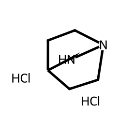 C1CN2CCC1CN2.Cl.Cl